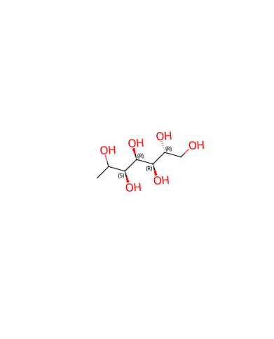 CC(O)[C@H](O)[C@@H](O)[C@H](O)[C@H](O)CO